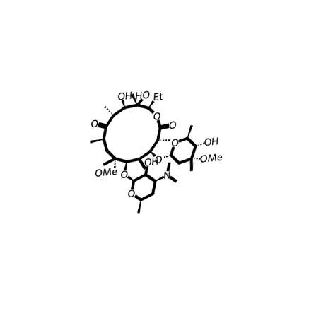 CC[C@H]1OC(=O)[C@H](C)[C@@H](O[C@H]2C[C@@](C)(OC)[C@@H](O)[C@H](C)O2)C(C)[C@@H](O[C@@H]2O[C@H](C)C[C@H](N(C)C)C2O)[C@](C)(OC)C[C@@H](C)C(=O)[C@H](C)[C@@H](O)[C@]1(C)O